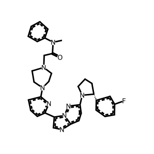 CN(C(=O)CN1CCN(c2cccc(-c3cnc4ccc(N5CCC[C@@H]5c5cccc(F)c5)nn34)n2)CC1)c1ccccc1